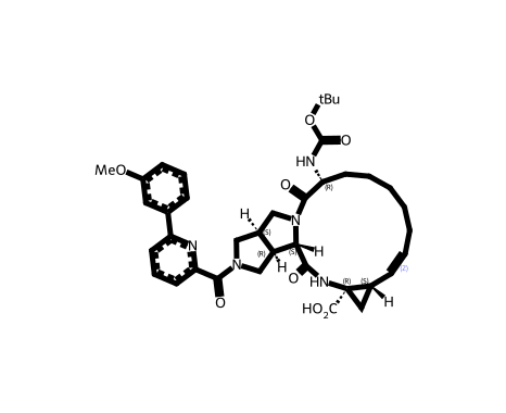 COc1cccc(-c2cccc(C(=O)N3C[C@H]4CN5C(=O)[C@H](NC(=O)OC(C)(C)C)CCCCC/C=C\[C@@H]6C[C@@]6(C(=O)O)NC(=O)[C@@H]5[C@H]4C3)n2)c1